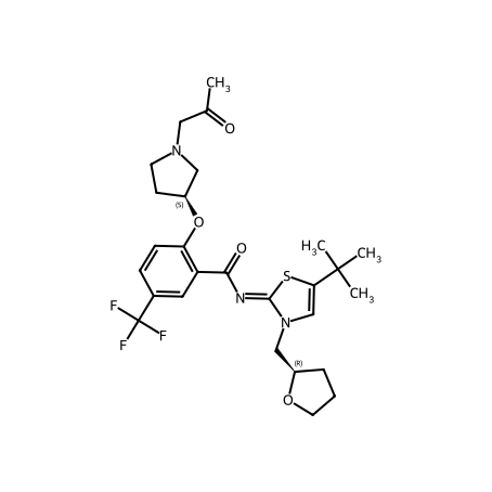 CC(=O)CN1CC[C@H](Oc2ccc(C(F)(F)F)cc2C(=O)N=c2sc(C(C)(C)C)cn2C[C@H]2CCCO2)C1